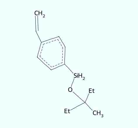 C=Cc1ccc([SiH2]OC(C)(CC)CC)cc1